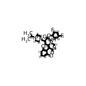 CC(C)N1CCN(C2=Cc3c(-c4c(Cl)cccc4Cl)c(=O)ncn3NC2(C)Oc2ccc(F)cc2F)CC1